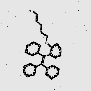 CCCC=CCCCOc1ccccc1C(=C(c1ccccc1)c1ccccc1)c1ccccc1